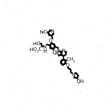 Cc1c(OCCCN2CC[C@@H](O)C2)cccc1-c1ccnc2c1cnn2Cc1cc(OCc2cncc(C#N)c2)c(CNC(CO)C(=O)O)cc1Cl